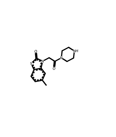 Cc1ccc2sc(=O)n(CC(=O)N3CCNCC3)c2c1